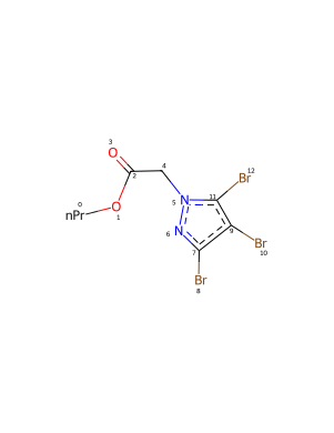 CCCOC(=O)Cn1nc(Br)c(Br)c1Br